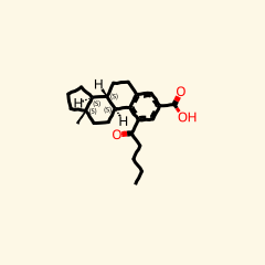 CCCCC(=O)c1cc(C(=O)O)cc2c1[C@H]1CC[C@]3(C)CCC[C@H]3[C@@H]1CC2